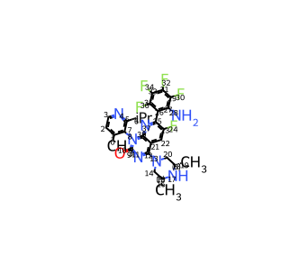 Cc1ccnc(C(C)C)c1-n1c(=O)nc(N2C[C@@H](C)N[C@@H](C)C2)c2cc(F)c(-c3c(N)c(F)c(F)c(F)c3F)nc21